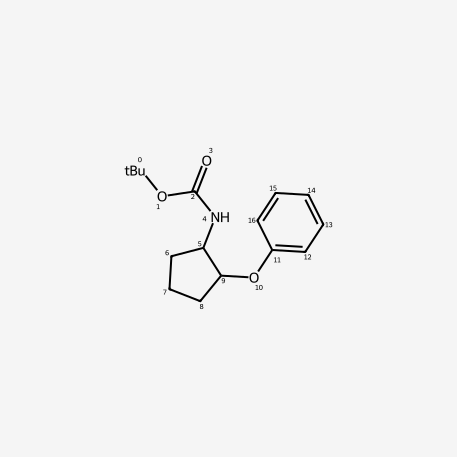 CC(C)(C)OC(=O)NC1CCCC1Oc1ccccc1